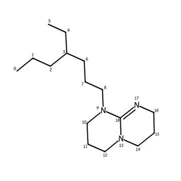 CCCC(CC)CCCN1CCCN2CCCN=C21